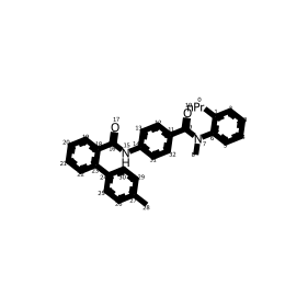 CCCc1ccccc1N(C)C(=O)c1ccc(NC(=O)c2ccccc2-c2ccc(C)cc2)cc1